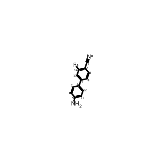 N#Cc1ccc(-c2ccc(N)cc2)cc1F